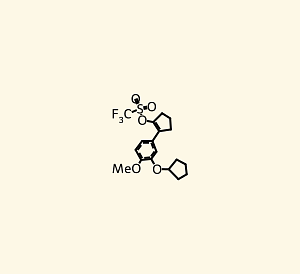 COc1ccc(C2=C(OS(=O)(=O)C(F)(F)F)CCC2)cc1OC1CCCC1